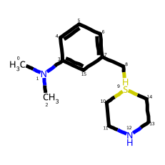 CN(C)c1[c]ccc(C[SH]2CCNCC2)c1